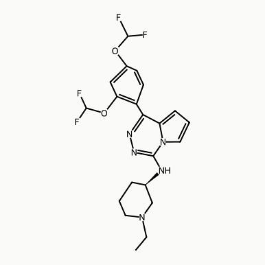 CCN1CCC[C@@H](Nc2nnc(-c3ccc(OC(F)F)cc3OC(F)F)c3cccn23)C1